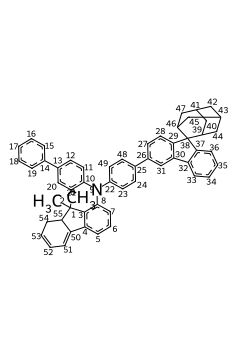 CC1(C)c2c(cccc2N(c2ccc(-c3ccccc3)cc2)c2ccc(-c3ccc4c(c3)-c3ccccc3C43C4CC5CC(C4)CC3C5)cc2)C2=CC=CCC21